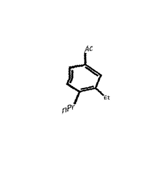 CCCc1ccc(C(C)=O)cc1CC